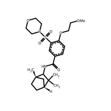 COCCOc1ccc(C(=O)NC2C(C)(C)[C@@H]3CC[C@@]2(C)C3)cc1S(=O)(=O)N1CCOCC1